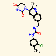 Cc1ccc(NC(=O)NCc2ccc3nc(C)c(N4CCC(=O)NC4=O)cc3c2)cc1Cl